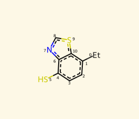 CCc1ccc(S)c2ncsc12